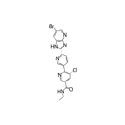 CCNC(=O)c1cnc(-c2ccc(-c3nc4ncc(Br)cc4[nH]3)nc2)c(Cl)c1